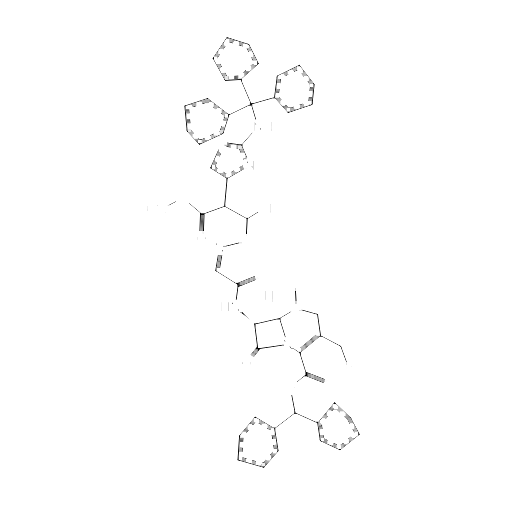 CC(O/N=C\C(=O)N[C@@H]1C(=O)N2C(C(=O)OC(c3ccccc3)c3ccccc3)=C(CBr)C[S+]([O-])[C@H]12)C(C(=O)OC(C)(C)C)c1csc(NC(c2ccccc2)(c2ccccc2)c2ccccc2)n1